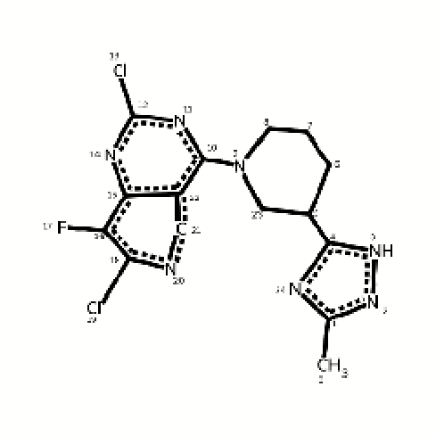 Cc1n[nH]c(C2CCCN(c3nc(Cl)nc4c(F)c(Cl)ncc34)C2)n1